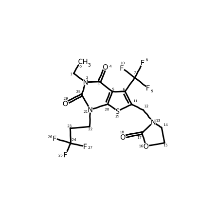 CCn1c(=O)c2c(C(F)(F)F)c(CN3CCOC3=O)sc2n(CCC(F)(F)F)c1=O